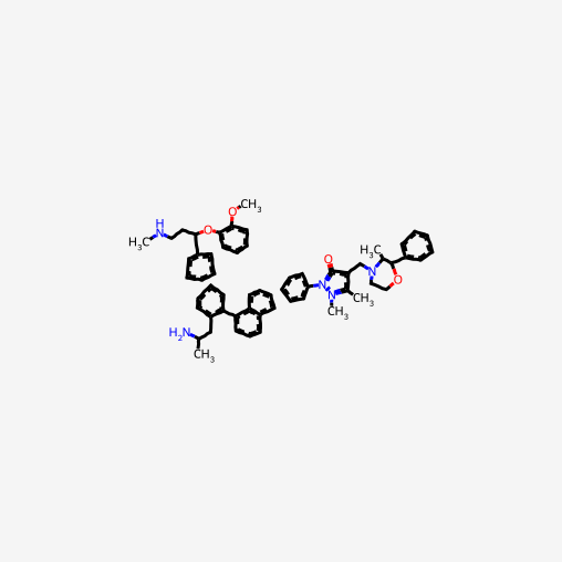 CC(N)Cc1ccccc1-c1cccc2ccccc12.CNCCC(Oc1ccccc1OC)c1ccccc1.Cc1c(CN2CCOC(c3ccccc3)C2C)c(=O)n(-c2ccccc2)n1C